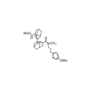 COC(=O)C12CC3CC(C1)CC(C14CC5CC(CC(C(=O)N(C)CCCc6ccc(OC)cc6)(C5)C1)C4)(C3)C2